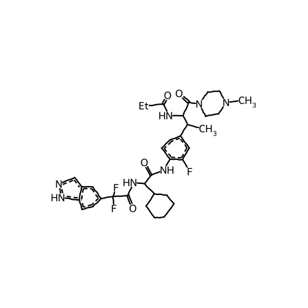 CCC(=O)NC(C(=O)N1CCN(C)CC1)C(C)c1ccc(NC(=O)C(NC(=O)C(F)(F)c2ccc3[nH]ncc3c2)C2CCCCC2)c(F)c1